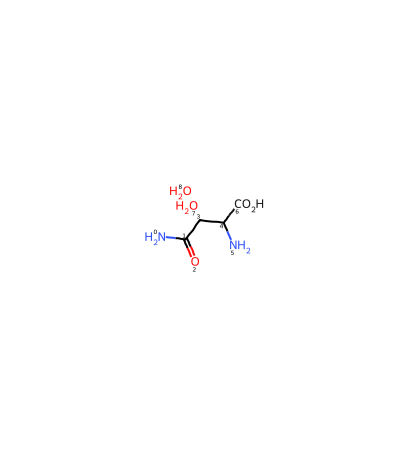 NC(=O)CC(N)C(=O)O.O.O